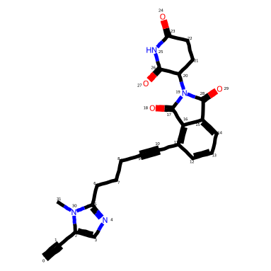 C#Cc1cnc(CCCC#Cc2cccc3c2C(=O)N(C2CCC(=O)NC2=O)C3=O)n1C